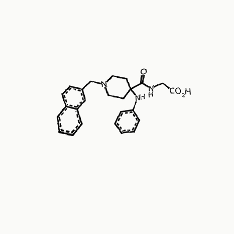 O=C(O)CNC(=O)C1(Nc2ccccc2)CCN(Cc2ccc3ccccc3c2)CC1